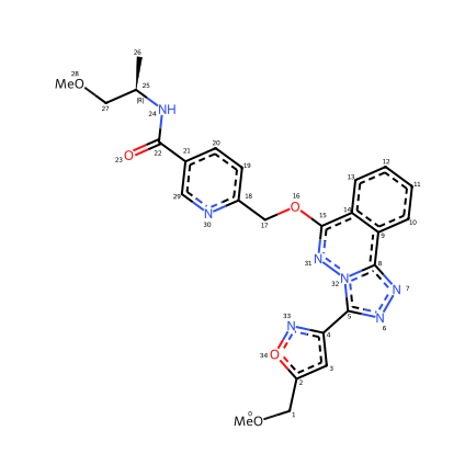 COCc1cc(-c2nnc3c4ccccc4c(OCc4ccc(C(=O)N[C@H](C)COC)cn4)nn23)no1